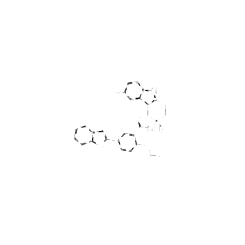 Cc1ccc2[nH]c3c(c2c1)CC(CO)(NC(=O)c1cc(-c2cc4ccccc4o2)ccc1OC(C)C)CC3